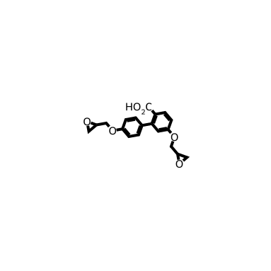 O=C(O)c1ccc(OCC2CO2)cc1-c1ccc(OCC2CO2)cc1